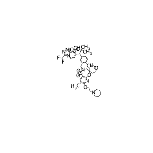 Cc1ccc([C@@H](c2ccn3c(C(F)F)nnc3c2C)C(C)(C)C(=O)O)cc1CN1CC2(CCOCC2)Oc2nc(OCCN3CCCCC3)c(C)cc2S1(=O)=O